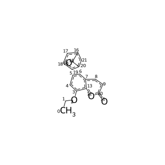 CCOc1cccc2ccc(=O)oc12.O=C1c2cccc1c2